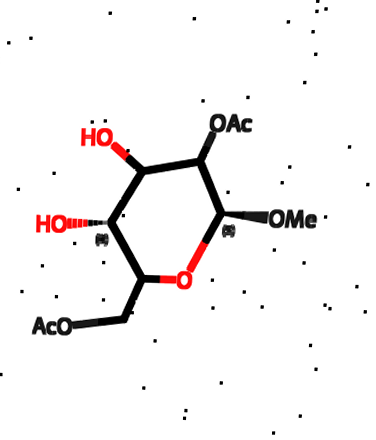 CO[C@H]1OC(COC(C)=O)[C@H](O)C(O)C1OC(C)=O